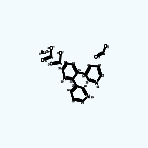 O=C[O-].O=C[O-].O=C[O-].[Ru+3].c1cncc(-c2cccnc2-c2cccnc2)c1